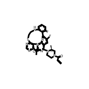 C=CC(=O)N1CCN(c2nc(=O)n3c4nc(c(F)cc24)-c2c(F)cccc2NCCSc2ncnc(C(C)C)c2-3)[C@@H](C)C1